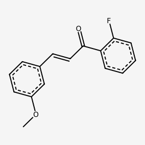 COc1cccc(C=CC(=O)c2ccccc2F)c1